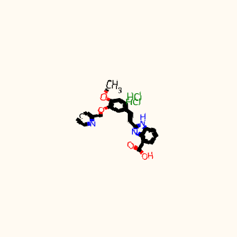 COc1ccc(/C=C/c2nc3c(C(=O)O)cccc3[nH]2)cc1OCc1ccccn1.Cl.Cl